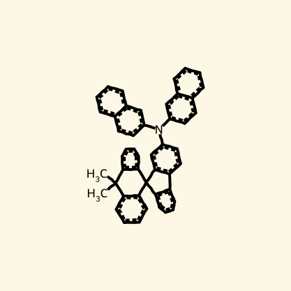 CC1(C)c2ccccc2C2(c3ccccc3-c3ccc(N(c4ccc5ccccc5c4)c4ccc5ccccc5c4)cc32)c2ccccc21